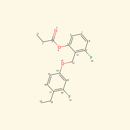 CCC(=O)Oc1cccc(F)c1COc1ccc(CC)c(F)c1